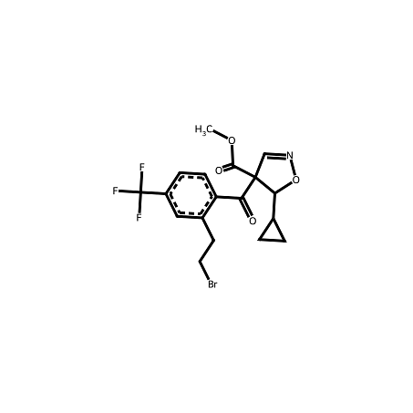 COC(=O)C1(C(=O)c2ccc(C(F)(F)F)cc2CCBr)C=NOC1C1CC1